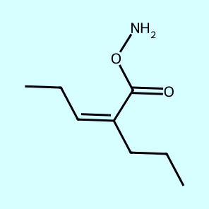 CCC=C(CCC)C(=O)ON